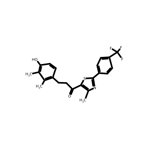 Cc1nc(-c2ccc(C(F)(F)F)cc2)sc1C(=O)CCc1ccc(O)c(C)c1C